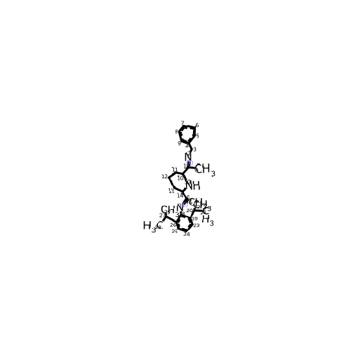 C/C(=N\Cc1ccccc1)C1CCCC(/C(C)=N/c2c(C(C)C)cccc2C(C)C)N1